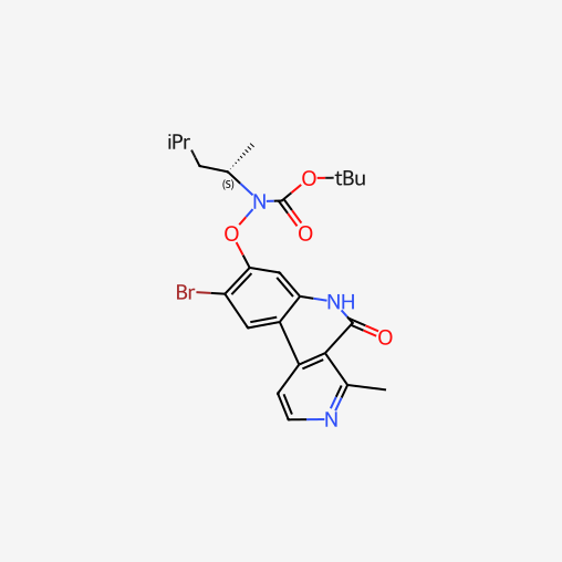 Cc1nccc2c1c(=O)[nH]c1cc(ON(C(=O)OC(C)(C)C)[C@@H](C)CC(C)C)c(Br)cc12